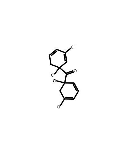 O=C(C1(Cl)C=C(Cl)C=CC1)C1(Cl)C=CC=C(Cl)C1